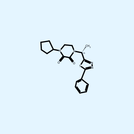 C[C@H](c1nnc(-c2ccccc2)s1)N1CCN(C2CCCC2)C(=O)C1=O